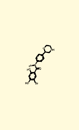 CCCN(C(=O)c1cc(C(C)C)c(O)cc1O)c1ccc(C2CNCCO2)cc1